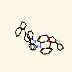 c1cc(-c2ccc(-c3cccc4ccccc34)cc2)cc(N(c2ccccc2-c2cccc3sc4ccccc4c23)c2ccccc2-n2c3ccccc3c3ccccc32)c1